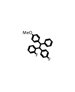 COc1ccc(C([C](c2ccc(F)cc2)c2ccccc2F)c2ccccc2)cc1